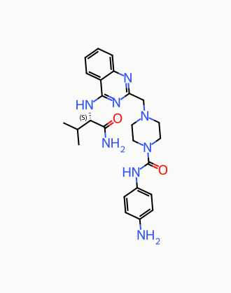 CC(C)[C@H](Nc1nc(CN2CCN(C(=O)Nc3ccc(N)cc3)CC2)nc2ccccc12)C(N)=O